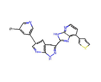 CC(C)c1cncc(-c2cnc3[nH]nc(-c4nc5c(-c6ccsc6)ccnc5[nH]4)c3c2)c1